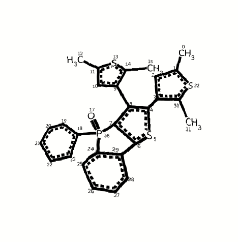 Cc1cc(-c2sc3c(c2-c2cc(C)sc2C)P(=O)(c2ccccc2)c2ccccc2-3)c(C)s1